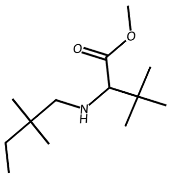 CCC(C)(C)CNC(C(=O)OC)C(C)(C)C